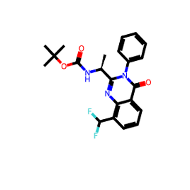 C[C@H](NC(=O)OC(C)(C)C)c1nc2c(C(F)F)cccc2c(=O)n1-c1ccccc1